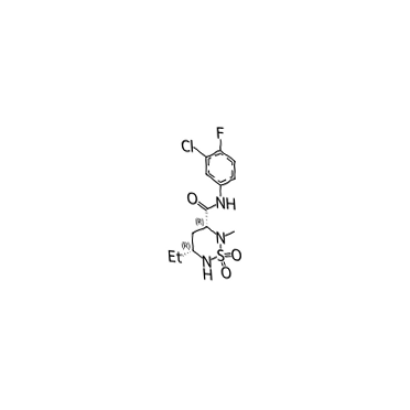 CC[C@@H]1C[C@H](C(=O)Nc2ccc(F)c(Cl)c2)N(C)S(=O)(=O)N1